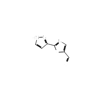 O=Cc1cnc(-c2cc[nH]n2)s1